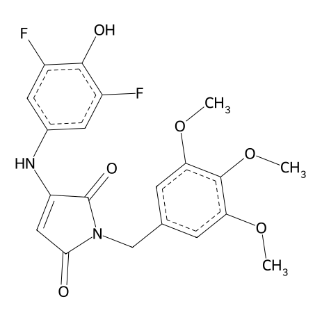 COc1cc(CN2C(=O)C=C(Nc3cc(F)c(O)c(F)c3)C2=O)cc(OC)c1OC